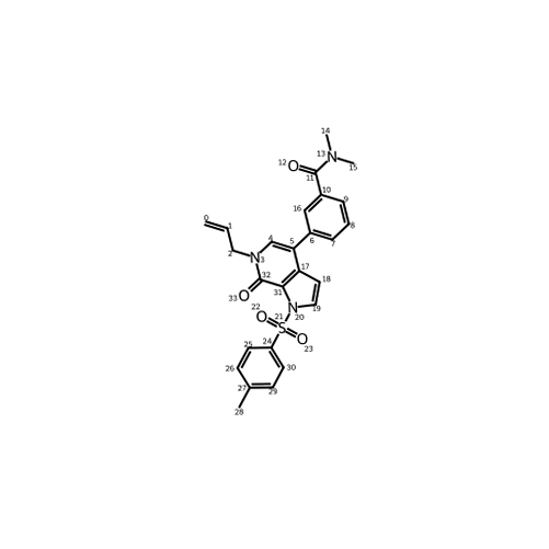 C=CCn1cc(-c2cccc(C(=O)N(C)C)c2)c2ccn(S(=O)(=O)c3ccc(C)cc3)c2c1=O